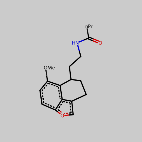 CCCC(=O)NCCC1CCc2coc3ccc(OC)c1c23